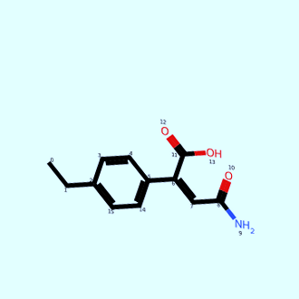 CCc1ccc(C(=CC(N)=O)C(=O)O)cc1